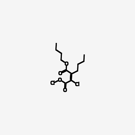 CCCCOC(=O)/C(CCCC)=C(/Cl)C(=O)OCl